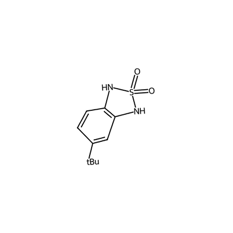 CC(C)(C)c1ccc2c(c1)NS(=O)(=O)N2